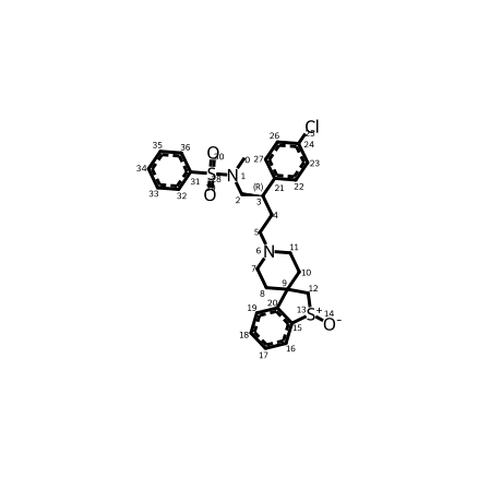 CN(C[C@H](CCN1CCC2(CC1)C[S+]([O-])c1ccccc12)c1ccc(Cl)cc1)S(=O)(=O)c1ccccc1